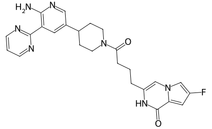 Nc1ncc(C2CCN(C(=O)CCCc3cn4cc(F)cc4c(=O)[nH]3)CC2)cc1-c1ncccn1